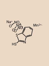 O=[N+]([O-])[O-].O=[N+]([O-])[O-].O=[N+]([O-])[O-].Sc1nc2ccccc2s1.[Mn+2].[Na+]